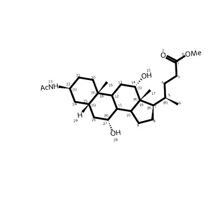 COC(=O)CC[C@@H](C)[C@H]1CCC2C3C(C[C@H](O)[C@@]21C)[C@@]1(C)CC[C@H](NC(C)=O)C[C@H]1C[C@H]3O